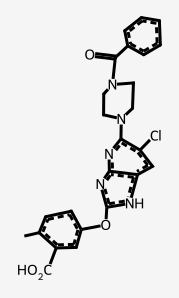 Cc1ccc(Oc2nc3nc(N4CCN(C(=O)c5ccccc5)CC4)c(Cl)cc3[nH]2)cc1C(=O)O